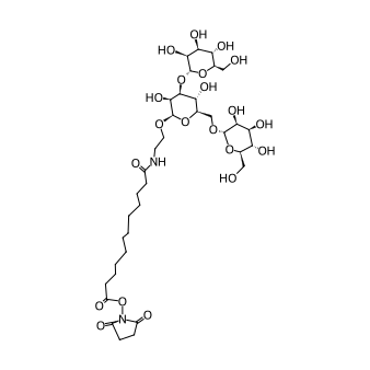 O=C(CCCCCCCCCCC(=O)ON1C(=O)CCC1=O)NCCO[C@@H]1O[C@H](CO[C@H]2O[C@H](CO)[C@@H](O)[C@H](O)[C@@H]2O)[C@@H](O)[C@H](O[C@H]2O[C@H](CO)[C@@H](O)[C@H](O)[C@@H]2O)[C@@H]1O